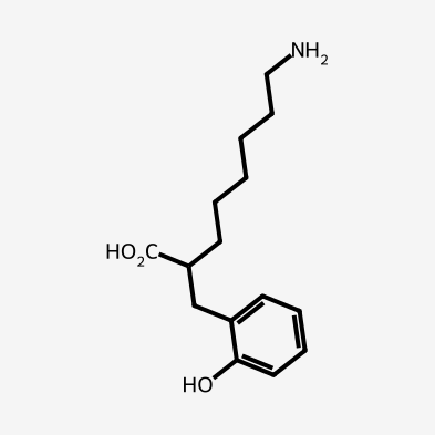 NCCCCCCC(Cc1ccccc1O)C(=O)O